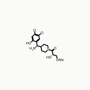 COC[C@H](O)C(=O)N1CCC([C@@H](N)c2cc(Cl)c(Cl)cc2O)CC1